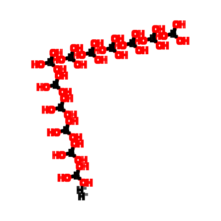 OB(O)O.OB(O)O.OB(O)O.OB(O)O.OB(O)O.OB(O)O.OB(O)O.OB(O)O.OB(O)O.OB(O)O.OB(O)O.OB(O)O.[H-].[H-]